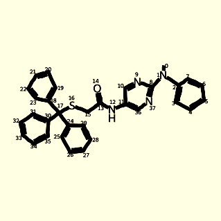 CN(c1ccccc1)c1ncc(NC(=O)CSC(c2ccccc2)(c2ccccc2)c2ccccc2)cn1